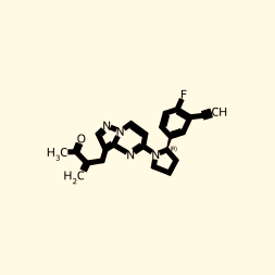 C#Cc1cc([C@H]2CCCN2c2ccn3ncc(CC(=C)C(C)=O)c3n2)ccc1F